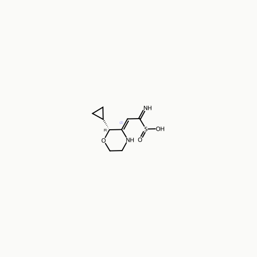 N=C(/C=C1\NCCO[C@@H]1C1CC1)S(=O)O